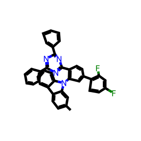 Cc1ccc2c3ccccc3n(-c3cc(-c4ccc(F)cc4F)ccc3-c3nc(-c4ccccc4)nc(-c4ccccc4)n3)c2c1